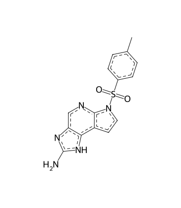 Cc1ccc(S(=O)(=O)n2ccc3c4[nH]c(N)nc4cnc32)cc1